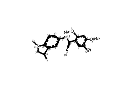 COc1cc(OC)c(C(C)C)cc1C(=S)Nc1ccc2c(c1)C(C)CN2C